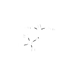 CCCCC[SiH](CCCCC)O[Si](CC)(CC)CC